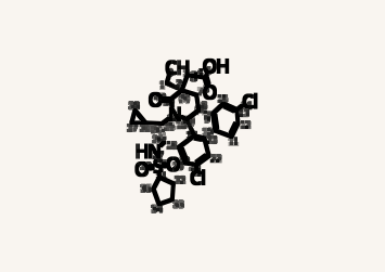 CC[C@@]1(CC(=O)O)C[C@H](c2cccc(Cl)c2)[C@@H](c2ccc(Cl)cc2)N([C@H](CNS(=O)(=O)C2CCCC2)C2CC2)C1=O